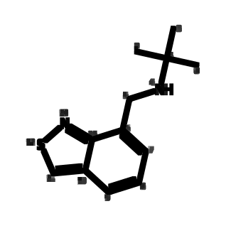 CC(C)(C)NCc1cccc2csnc12